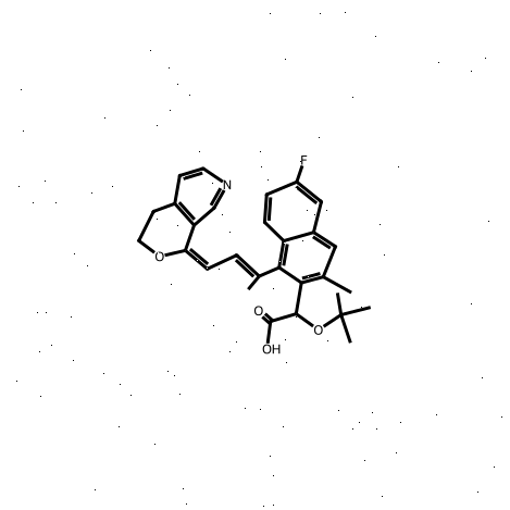 C/C(=C\C=C1\OCCc2ccncc21)c1c(C(OC(C)(C)C)C(=O)O)c(C)cc2cc(F)ccc12